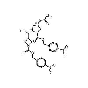 CC(=O)S[C@@H]1C[C@@H](C(O)C2CN(C(=O)OCc3ccc([N+](=O)[O-])cc3)C2)N(C(=O)OCc2ccc([N+](=O)[O-])cc2)C1